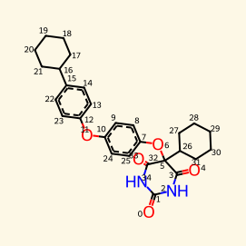 O=C1NC(=O)C(Oc2ccc(Oc3ccc(C4CCCCC4)cc3)cc2)(C2CCCCC2)C(=O)N1